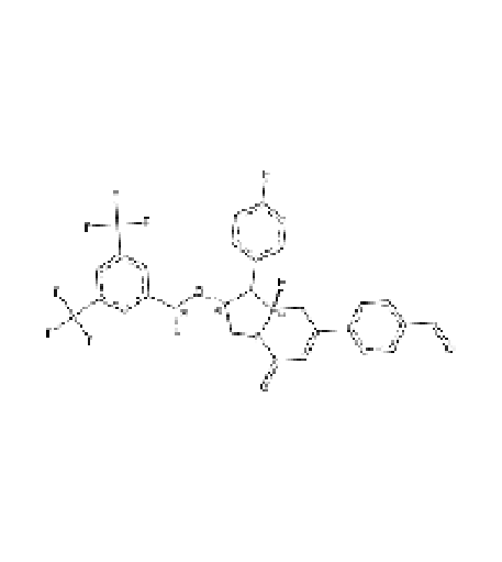 C[C@@H](O[C@H]1CN2C(=O)C=C(c3ccc(C=O)cc3)C[C@H]2C1c1ccc(F)cc1)c1cc(C(F)(F)F)cc(C(F)(F)F)c1